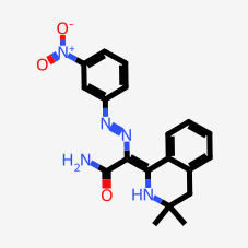 CC1(C)Cc2ccccc2C(=C(N=Nc2cccc([N+](=O)[O-])c2)C(N)=O)N1